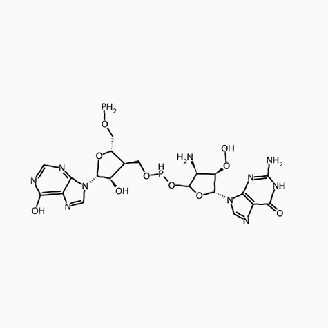 Nc1nc2c(ncn2[C@@H]2OC(OPOC[C@H]3[C@@H](O)[C@H](n4cnc5c(O)ncnc54)O[C@@H]3COP)[C@@H](N)[C@H]2OO)c(=O)[nH]1